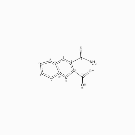 NC(=O)c1cc2ccccc2nc1C(=O)O